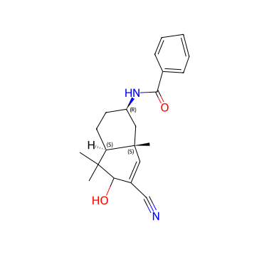 CC1(C)C(O)C(C#N)=C[C@@]2(C)C[C@H](NC(=O)c3ccccc3)CC[C@H]12